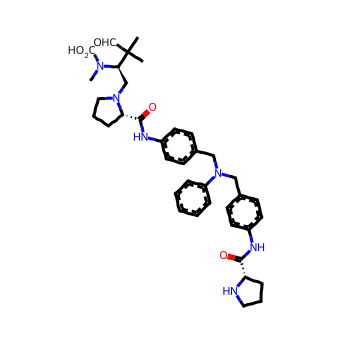 CN(C(=O)O)[C@H](CN1CCC[C@H]1C(=O)Nc1ccc(CN(Cc2ccc(NC(=O)[C@@H]3CCCN3)cc2)c2ccccc2)cc1)C(C)(C)C=O